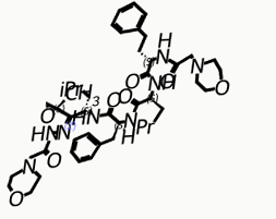 CC(C)C[C@H](NC(=O)[C@H](CCc1ccccc1)NC(=O)CN1CCOCC1)C(=O)N[C@@H](Cc1ccccc1)C(=O)N[C@@H](CC(C)C)/C(=N/NC(=O)CN1CCOCC1)[C@@]1(C)CO1